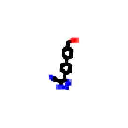 N#Cc1[nH]nnc1-c1ccc(-c2ccc(CO)cc2)cc1